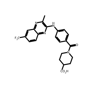 Cc1nc2cc(C(F)(F)F)ccc2nc1Nc1ccc(C(=O)N2CCC(C(=O)O)CC2)cc1